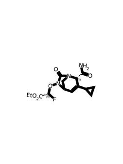 CCOC(=O)[C@@H](F)ON1C(=O)N2CC1C=C(C1CC1)[C@H]2C(N)=O